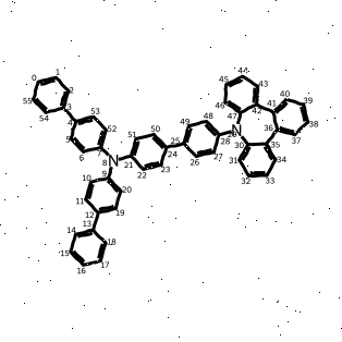 c1ccc(-c2ccc(N(c3ccc(-c4ccccc4)cc3)c3ccc(-c4ccc(N5c6ccccc6-c6ccccc6-c6ccccc65)cc4)cc3)cc2)cc1